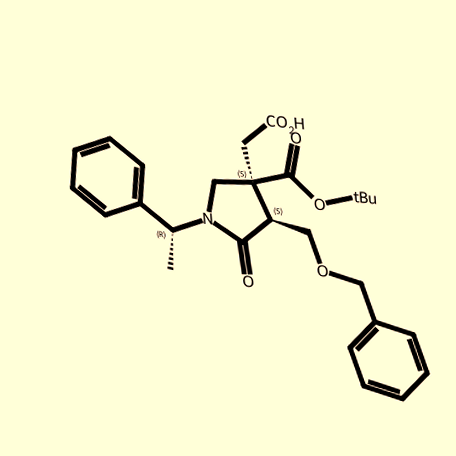 C[C@H](c1ccccc1)N1C[C@@](CC(=O)O)(C(=O)OC(C)(C)C)[C@@H](COCc2ccccc2)C1=O